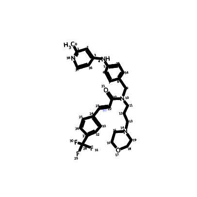 Cc1cc(Nc2ccc(CN(CCCN3CCOCC3)C(=O)/C=C/c3ccc(C(F)(F)F)cc3)cc2)ccn1